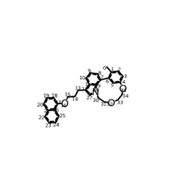 Cc1ccc2cc1-c1cccc3c(CCCOc4cccc5ccccc45)cn(c13)CCOCCO2